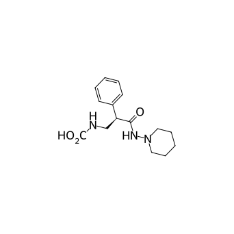 O=C(O)NC[C@H](C(=O)NN1CCCCC1)c1ccccc1